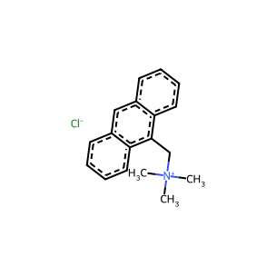 C[N+](C)(C)Cc1c2ccccc2cc2ccccc12.[Cl-]